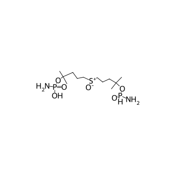 CC(C)(CCC[S+]([O-])CCCC(C)(C)OP(N)(=O)O)O[PH](N)=O